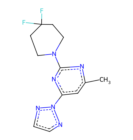 Cc1cc(-n2nccn2)nc(N2CCC(F)(F)CC2)n1